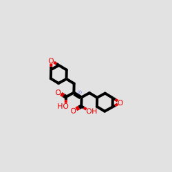 O=C(O)/C(CC1CCC2OC2C1)=C(/CC1CCC2OC2C1)C(=O)O